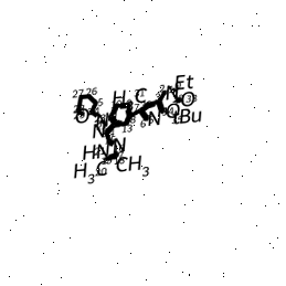 CCN(Cc1cncc(-c2ccc3c(c2)c(-c2nc(C)c(C)[nH]2)nn3C2CCCCO2)c1C)C(=O)OC(C)(C)C